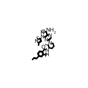 C/C=C/c1ccc(C(=O)N[C@@H]2CCCN(c3cnc(C(N)=O)c(Nc4cc(C)ns4)n3)[C@@H]2C)c(F)c1